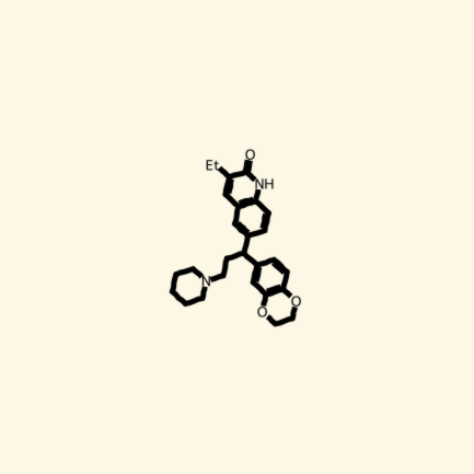 CCc1cc2cc(C(CCN3CCCCC3)c3ccc4c(c3)OCCO4)ccc2[nH]c1=O